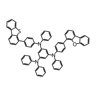 c1ccc(N(c2ccccc2)c2cc(N(c3ccccc3)c3ccc(-c4cccc5c4oc4ccccc45)cc3)cc(N(c3ccccc3)c3ccc(-c4cccc5c4sc4ccccc45)cc3)c2)cc1